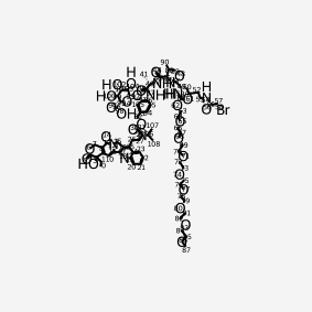 CC[C@@]1(O)C(=O)OCc2c1cc1n(c2=O)Cc2c-1nc1ccccc1c2CCN(C(=O)OCc1ccc(NC(=O)[C@H](C)NC(=O)[C@@H](NC(=O)[C@H](CCCCNC(=O)CBr)NC(=O)OCCOCCOCCOCCOCCOCCOCCOCCOC)C(C)C)c(O[C@@H]2O[C@H](C(=O)O)[C@@H](O)[C@H](O)[C@H]2O)c1)C(C)C